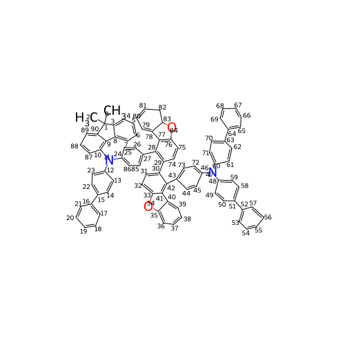 CC1(C)c2ccccc2-c2c(N(c3ccc(-c4ccccc4)cc3)c3ccc(-c4c(-c5ccc6oc7ccccc7c6c5-c5ccc(N(c6ccc(-c7ccccc7)cc6)c6ccc(-c7ccccc7)cc6)cc5)ccc5c4C4=CC=CCC4O5)cc3)cccc21